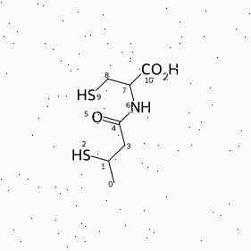 CC(S)CC(=O)NC(CS)C(=O)O